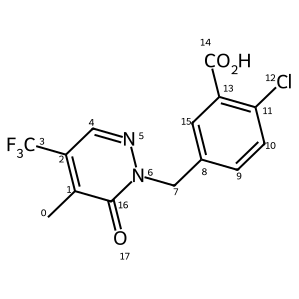 Cc1c(C(F)(F)F)cnn(Cc2ccc(Cl)c(C(=O)O)c2)c1=O